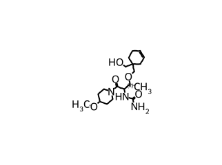 COC1CCN(C(=O)C(NC(N)=O)[C@@H](C)OCC2(CO)CC=CCC2)CC1